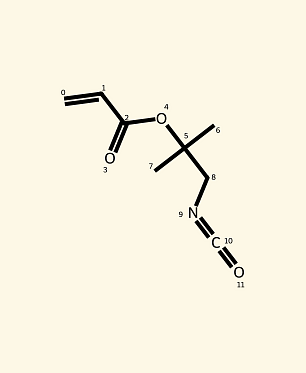 C=CC(=O)OC(C)(C)CN=C=O